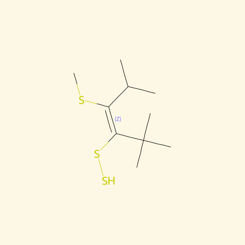 CS/C(=C(\SS)C(C)(C)C)C(C)C